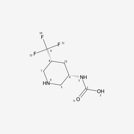 O=C(O)N[C@@H]1CNC[C@H](C(F)(F)F)C1